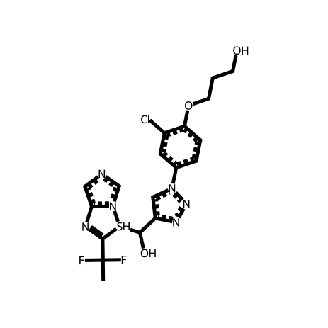 CC(F)(F)C1=Nc2cncn2[SH]1C(O)c1cn(-c2ccc(OCCCO)c(Cl)c2)nn1